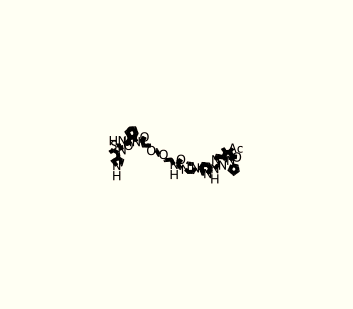 CC(=O)c1c(C)c2cnc(Nc3ccc(N4CCN(CC(=O)NCCOCCOCCC(=O)Nc5ccccc5C(=O)NC5=NC(C6CCNC6)C(C)S5)CC4)cn3)nc2n(C2CCCC2)c1=O